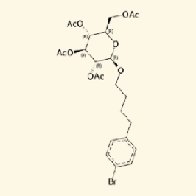 CC(=O)OC[C@H]1O[C@@H](OCCCCc2ccc(Br)cc2)[C@H](OC(C)=O)[C@@H](OC(C)=O)[C@@H]1OC(C)=O